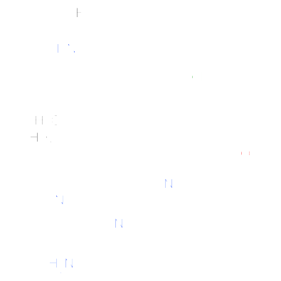 CCNc1cc(Cl)c(C2COCCCN2c2cc(C)nc(N)n2)cc1C